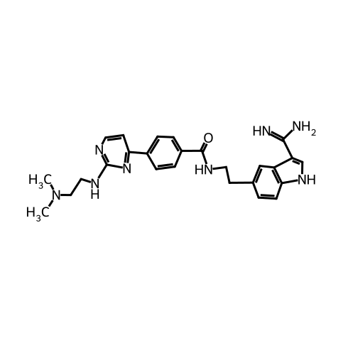 CN(C)CCNc1nccc(-c2ccc(C(=O)NCCc3ccc4[nH]cc(C(=N)N)c4c3)cc2)n1